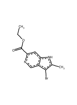 CCOC(=O)c1cc2[nH]c(C)c(Br)c2cn1